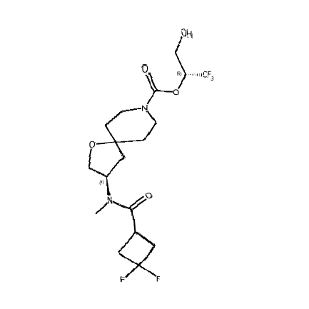 CN(C(=O)C1CC(F)(F)C1)[C@H]1COC2(CCN(C(=O)O[C@H](CO)C(F)(F)F)CC2)C1